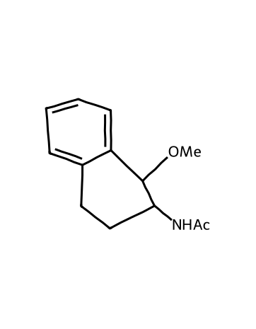 COC1c2ccccc2CCC1NC(C)=O